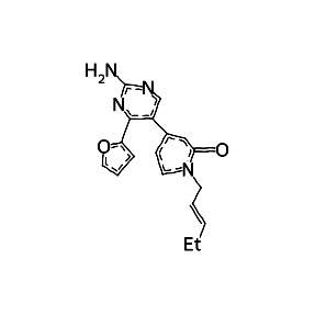 CCC=CCn1ccc(-c2cnc(N)nc2-c2ccco2)cc1=O